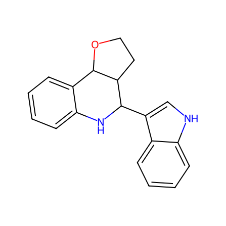 c1ccc2c(c1)NC(c1c[nH]c3ccccc13)C1CCOC21